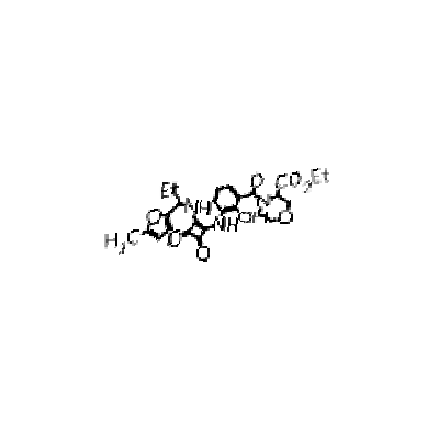 CCOC(=O)C1COCCN1C(=O)c1cccc(Nc2c(N[C@H](CC)c3ccc(C)o3)c(=O)c2=O)c1O